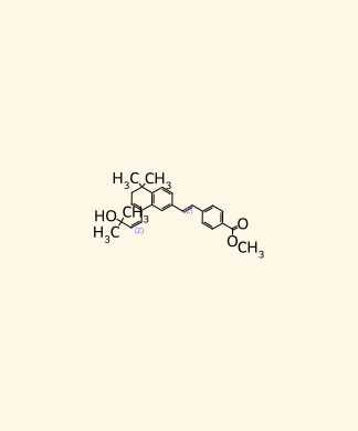 COC(=O)c1ccc(/C=C/c2ccc3c(c2)C(/C=C\C(C)(C)O)=CCC3(C)C)cc1